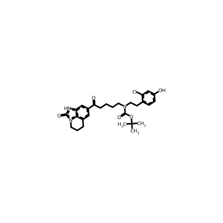 CC(C)(C)OC(=O)N(CCCCC(=O)c1cc2c3c(c1)[nH]c(=O)n3CCC2)CCc1ccc(O)cc1Cl